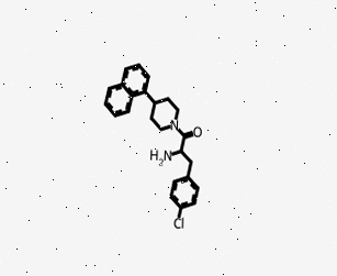 NC(Cc1ccc(Cl)cc1)C(=O)N1CCC(c2cccc3ccccc23)CC1